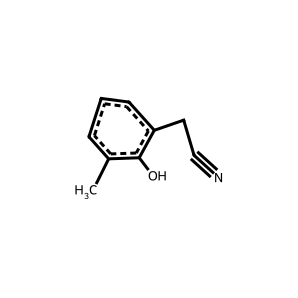 Cc1cccc(CC#N)c1O